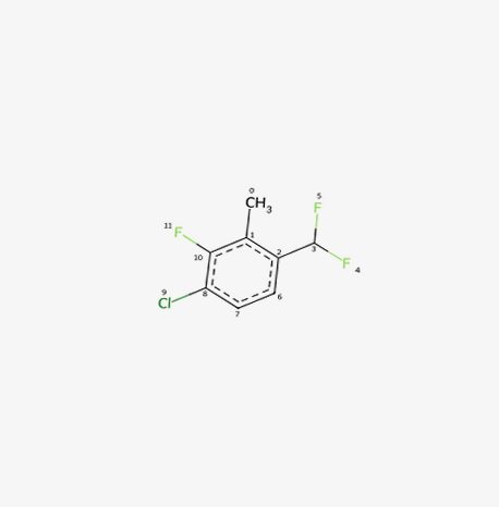 Cc1c(C(F)F)ccc(Cl)c1F